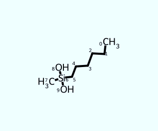 CCCCCC[Si](C)(O)O